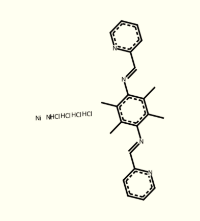 Cc1c(C)c(N=Cc2ccccn2)c(C)c(C)c1N=Cc1ccccn1.Cl.Cl.Cl.Cl.[Ni].[Ni]